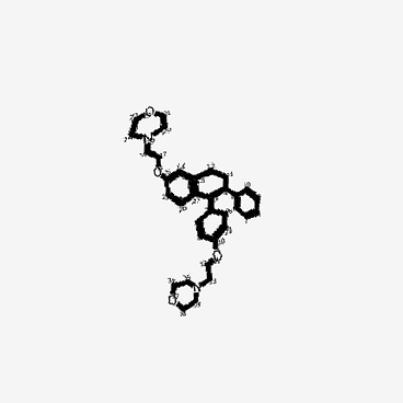 C1=CC(C2=C(c3ccccc3)CCc3cc(OCCN4CCOCC4)ccc32)CC=C1OCCN1CCOCC1